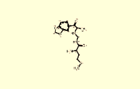 CSCCC(N)C(=O)NCNC(C)C(=O)c1ccc2c(c1)OCO2